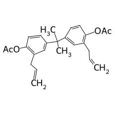 C=CCc1cc(C(C)(C)c2ccc(OC(C)=O)c(CC=C)c2)ccc1OC(C)=O